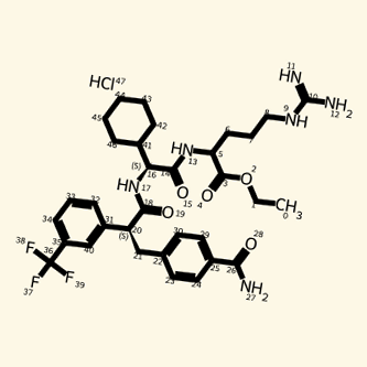 CCOC(=O)C(CCCNC(=N)N)NC(=O)[C@@H](NC(=O)[C@@H](Cc1ccc(C(N)=O)cc1)c1cccc(C(F)(F)F)c1)C1CCCCC1.Cl